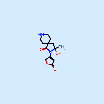 CC1(O)CC2(CCNCC2)C(=O)N1C1=CC(=O)OC1